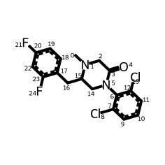 CN1CC(=O)N(c2c(Cl)cccc2Cl)CC1Cc1ccc(F)cc1F